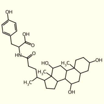 CC(CCC(=O)NC(Cc1ccc(O)cc1)C(=O)O)C1CCC2C3C(O)CC4CC(O)CCC4(C)C3CC(O)C12C